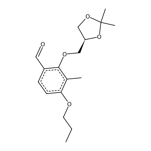 CCCOc1ccc(C=O)c(OC[C@H]2COC(C)(C)O2)c1C